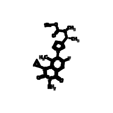 Cc1c(-n2ccc([C@@H](C)N(C)C(=O)OC(C)(C)C)c2)c(F)cc2c(=O)n(N)c(=O)n(C3CC3)c12